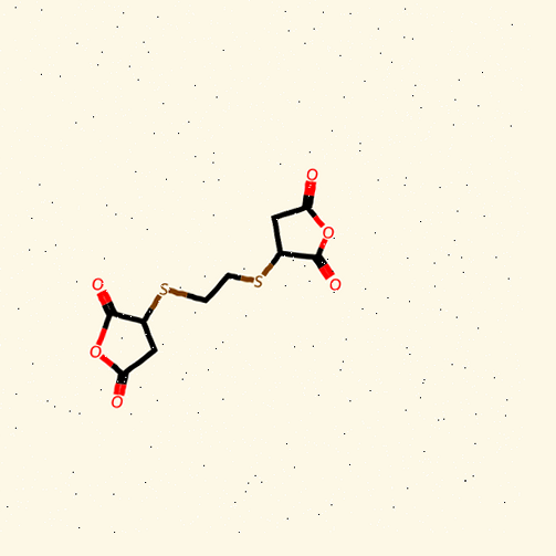 O=C1CC(SCCSC2CC(=O)OC2=O)C(=O)O1